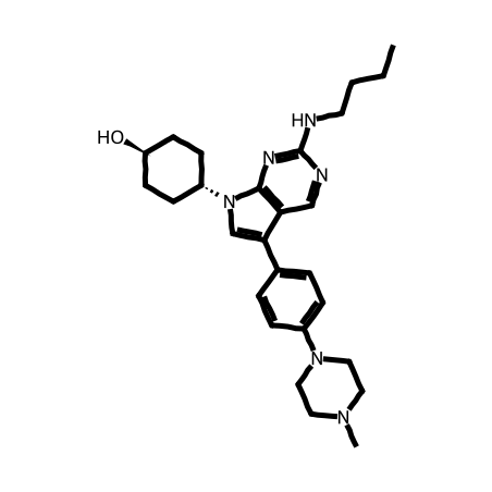 CCCCNc1ncc2c(-c3ccc(N4CCN(C)CC4)cc3)cn([C@H]3CC[C@H](O)CC3)c2n1